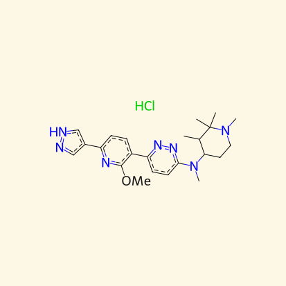 COc1nc(-c2cn[nH]c2)ccc1-c1ccc(N(C)C2CCN(C)C(C)(C)C2C)nn1.Cl